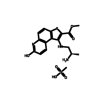 COC(=O)c1sc2ccc3nc(O)ccc3c2c1NC[C@@H](C)N.CS(=O)(=O)O